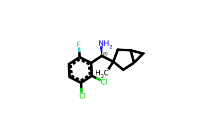 CC1([C@H](N)c2c(F)ccc(Cl)c2Cl)CC2CC2C1